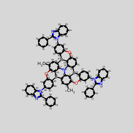 Cc1cc2c3c4c1Oc1cc(-n5c(-c6ccccc6)nc6ccccc65)ccc1B4c1ccc4c5c1N3c1c(cc(C)c3c1B2c1ccc(-n2c(-c6ccccc6)nc6ccccc62)cc1O3)B5c1ccc(-n2c(-c3ccccc3)nc3ccccc32)cc1O4